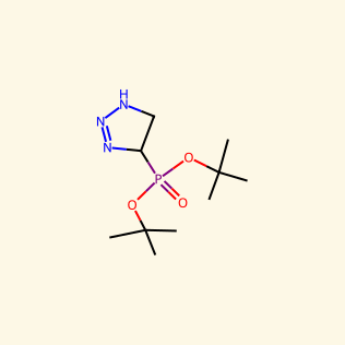 CC(C)(C)OP(=O)(OC(C)(C)C)C1CNN=N1